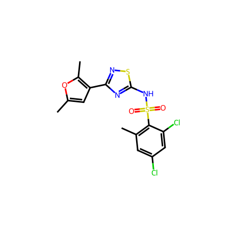 Cc1cc(-c2nsc(NS(=O)(=O)c3c(C)cc(Cl)cc3Cl)n2)c(C)o1